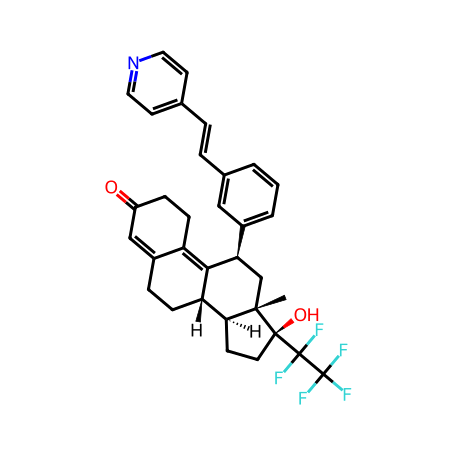 C[C@]12C[C@H](c3cccc(C=Cc4ccncc4)c3)C3=C4CCC(=O)C=C4CC[C@H]3[C@@H]1CC[C@@]2(O)C(F)(F)C(F)(F)F